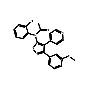 COc1cccc(-c2noc(N(C(C)=O)c3ccccc3Cl)c2-c2ccncc2)c1